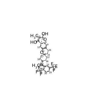 C[C@H](C(=O)O)[C@@H](O)c1ccc2c(c1)OC1(CC2)CCC(N(C)c2cc(C(F)(F)F)ccc2C(F)(F)F)CC1